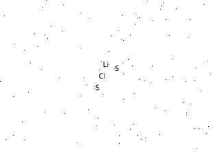 [C].[Li].[S].[S]